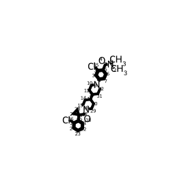 CN(C)C(=O)c1ccc(N2CCC(C3CCN(C(=O)C4(c5ccccc5Cl)CC4)CC3)CC2)cc1Cl